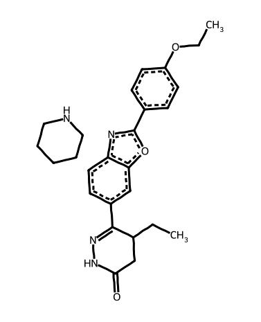 C1CCNCC1.CCOc1ccc(-c2nc3ccc(C4=NNC(=O)CC4CC)cc3o2)cc1